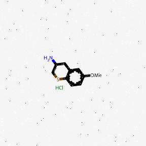 COc1ccc2c(c1)CC(N)CS2.Cl